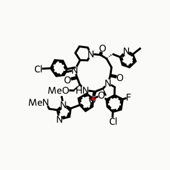 CNCc1ncc(-c2ccc(Oc3cc(Cl)cc(F)c3CN3C(=O)C[C@@H](Cc4cccc(C)n4)C(=O)N4CCC[C@@](Cc5ccc(Cl)cc5)(C4)N(C)C(=O)[C@H](COC)NC(=O)[C@@H]3C)cc2)n1C